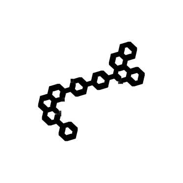 c1ccc(-c2ccc3ccc4ccc(-c5ccc(-c6ccc(-c7nc8ccccc8c8c7ccc7ccccc78)cc6)cn5)nc4c3n2)cc1